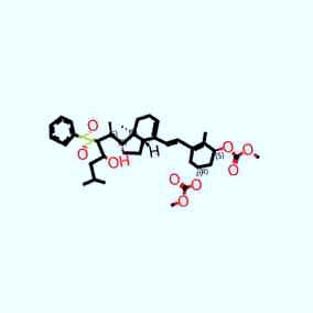 COC(=O)O[C@@H]1CC(C=CC2=CCC[C@]3(C)[C@@H]([C@H](C)C(C(O)CC(C)C)S(=O)(=O)c4ccccc4)CC[C@@H]23)=C(C)[C@@H](OC(=O)OC)C1